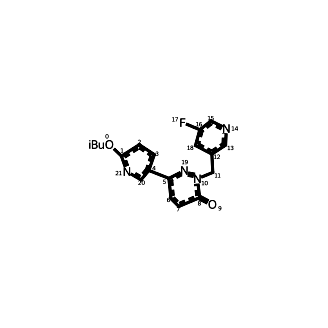 CC(C)COc1ccc(-c2ccc(=O)n(Cc3cncc(F)c3)n2)cn1